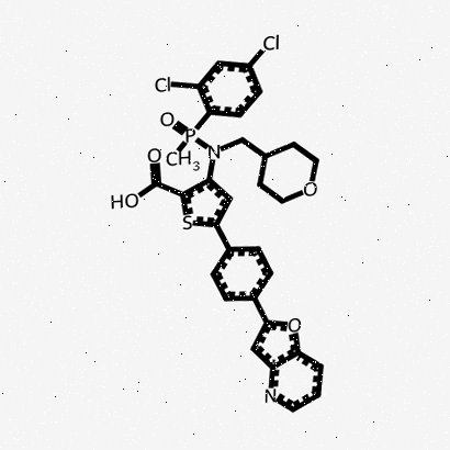 CP(=O)(c1ccc(Cl)cc1Cl)N(CC1CCOCC1)c1cc(-c2ccc(-c3cc4ncccc4o3)cc2)sc1C(=O)O